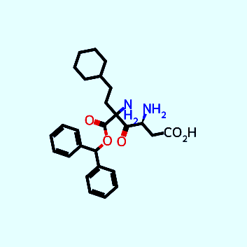 N[C@@H](CC(=O)O)C(=O)C(N)(CCC1CCCCC1)C(=O)OC(c1ccccc1)c1ccccc1